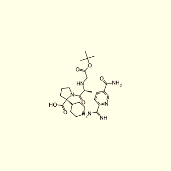 C[C@H](NCC(=O)OC(C)(C)C)C(=O)N1CCC[C@]1(C(=O)O)C1CCCCC1.N=C(N)c1ccc(C(N)=O)cn1